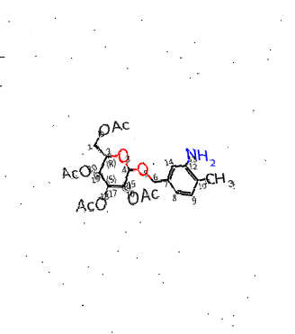 CC(=O)OC[C@H]1OC(OCc2ccc(C)c(N)c2)[C@H](OC(C)=O)[C@@H](OC(C)=O)[C@@H]1OC(C)=O